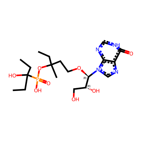 CCC(C)(CCO[C@H]([C@H](O)CO)n1cnc2c(=O)[nH]cnc21)OP(=O)(O)C(O)(CC)CC